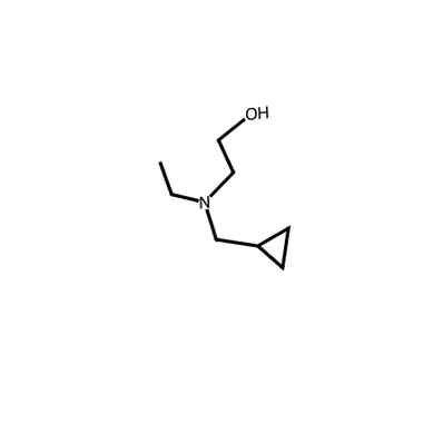 CCN(CCO)CC1CC1